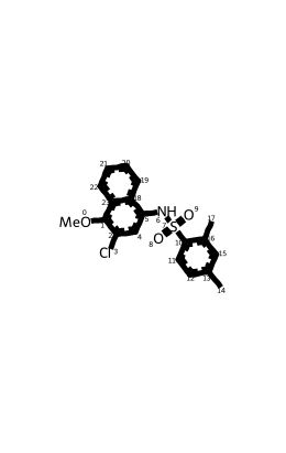 COc1c(Cl)cc(NS(=O)(=O)c2ccc(C)cc2C)c2ccccc12